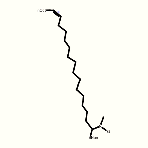 CCCCCCCC/C=C\CCCCCCCCCCCCCC(CCCCCCCCC)N(C)CC